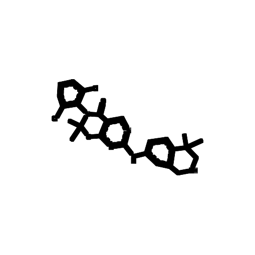 CC1(C)CNCc2cc(Nc3ncc4c(n3)OC(C)(C)N(c3c(Cl)cccc3Cl)C4=O)ccc21